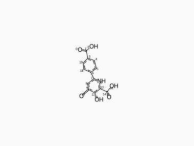 O=C(O)c1ccc(-c2cc(=O)c(O)c(C(=O)O)[nH]2)cc1